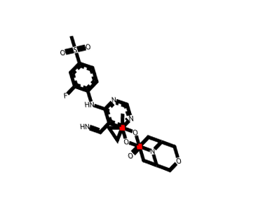 CC1(OC(=O)N2C3COCC2CC(Oc2ncnc(Nc4ccc(S(C)(=O)=O)cc4F)c2C=N)C3)CC1